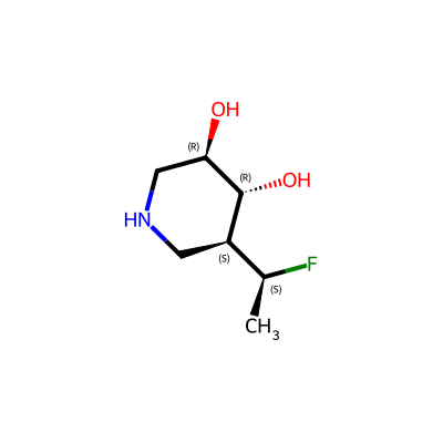 C[C@H](F)[C@H]1CNC[C@@H](O)[C@@H]1O